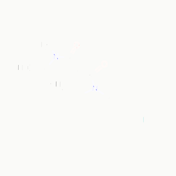 C=C(C)N(C)C(=O)C1CCN(c2ccc(F)cc2)C1=O